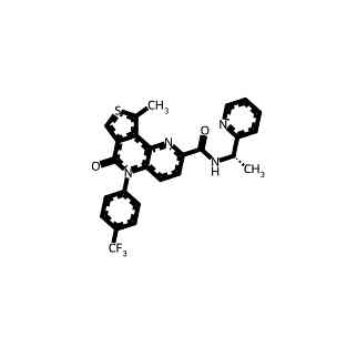 Cc1scc2c(=O)n(-c3ccc(C(F)(F)F)cc3)c3ccc(C(=O)N[C@@H](C)c4ccccn4)nc3c12